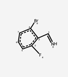 N=Cc1c(F)cccc1Br